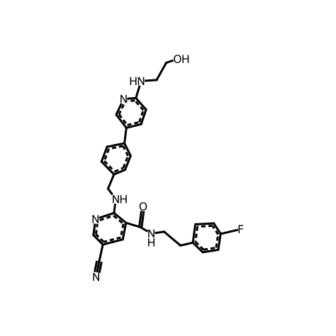 N#Cc1cnc(NCc2ccc(-c3ccc(NCCO)nc3)cc2)c(C(=O)NCCc2ccc(F)cc2)c1